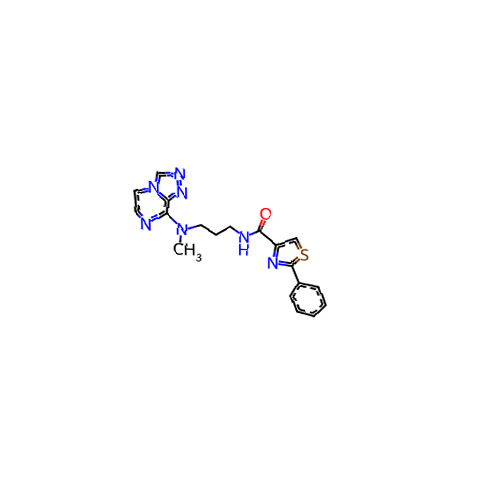 CN(CCCNC(=O)c1csc(-c2ccccc2)n1)c1nccn2cnnc12